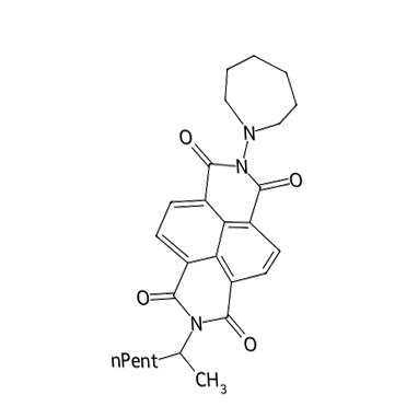 CCCCCC(C)N1C(=O)c2ccc3c4c(ccc(c24)C1=O)C(=O)N(N1CCCCCC1)C3=O